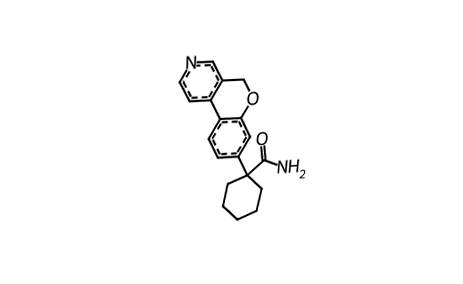 NC(=O)C1(c2ccc3c(c2)OCc2cnccc2-3)CCCCC1